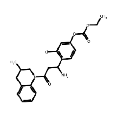 CCOC(=O)Oc1ccc(C(N)CC(=O)N2CC(C)Cc3ccccc32)c(Cl)c1